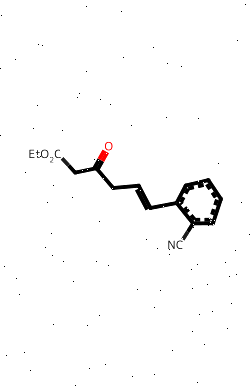 CCOC(=O)CC(=O)CC=Cc1ccccc1C#N